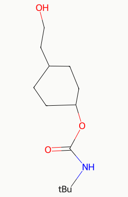 CC(C)(C)NC(=O)OC1CCC(CCO)CC1